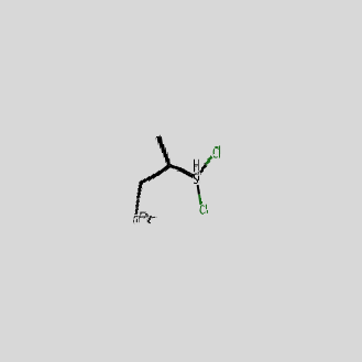 CCCCC(C)[SiH](Cl)Cl